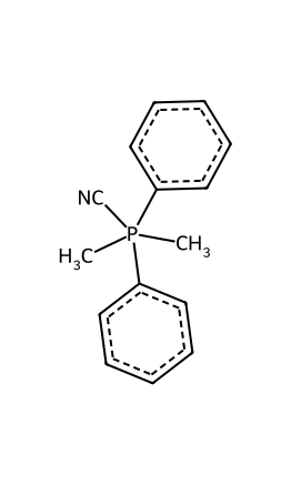 CP(C)(C#N)(c1ccccc1)c1ccccc1